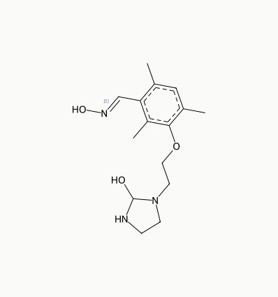 Cc1cc(C)c(OCCN2CCNC2O)c(C)c1/C=N/O